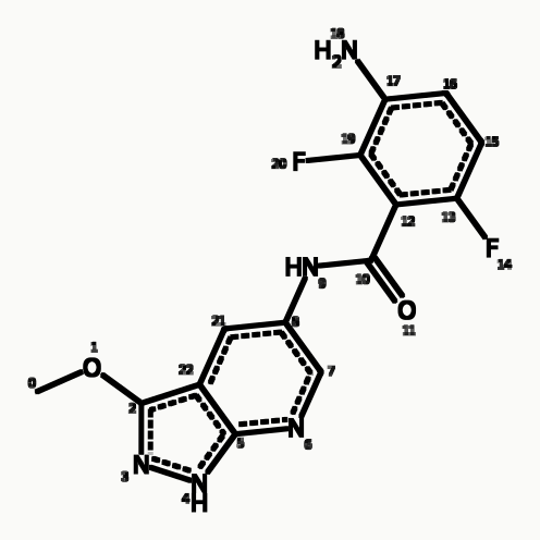 COc1n[nH]c2ncc(NC(=O)c3c(F)ccc(N)c3F)cc12